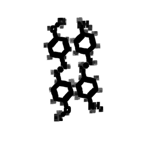 CCOc1ccc(N=Nc2ccc(OCC)cc2)cc1.Nc1ccc(N=Nc2ccc(N)cc2)cc1